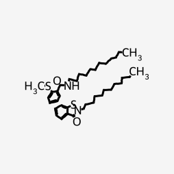 CCCCCCCCCCCCNC(=O)c1ccccc1SC.CCCCCCCCCCCCn1sc2ccccc2c1=O